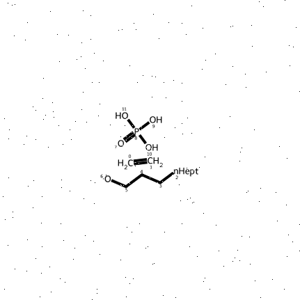 C=C.CCCCCCCCCC[O].O=P(O)(O)O